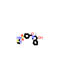 C[C@H]([C@H](O)c1ccccc1)N(C)C(=O)c1ccc(S(=O)(=O)Nc2nccs2)cc1